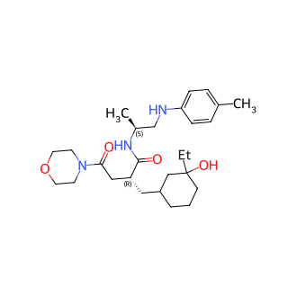 CCC1(O)CCCC(C[C@H](CC(=O)N2CCOCC2)C(=O)N[C@@H](C)CNc2ccc(C)cc2)C1